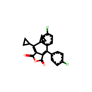 O=C1OC(=O)C(=C(C2CC2)C2CC2)C1=C(c1ccc(Cl)cc1)c1ccc(Cl)cc1